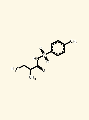 CCC(C)C(=O)NS(=O)(=O)c1ccc(C)cc1